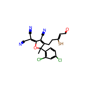 CC1(c2ccc(Cl)cc2Cl)OC(=C(C#N)C#N)C(C#N)=C1CC/C(S)=C/C=O